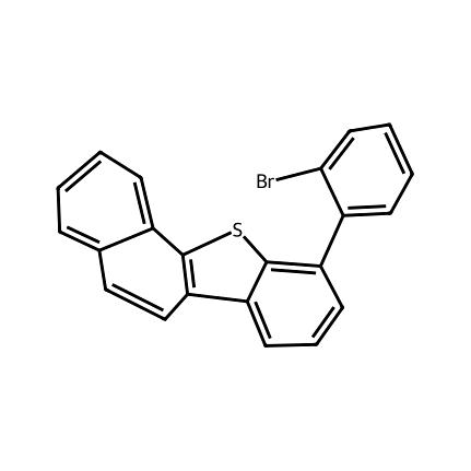 Brc1ccccc1-c1cccc2c1sc1c3ccccc3ccc21